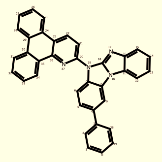 c1ccc(-c2ccc3c(c2)n2c4ccccc4nc2n3-c2ccc3c4ccccc4c4ccccc4c3n2)cc1